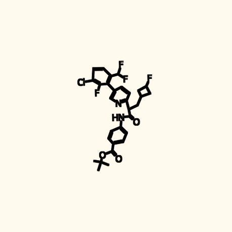 CC(C)(C)OC(=O)c1ccc(NC(=O)C(CC2CC(F)C2)c2ccc(-c3c(C(F)F)ccc(Cl)c3F)cn2)cc1